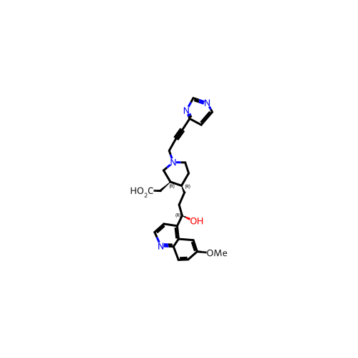 COc1ccc2nccc([C@H](O)CC[C@@H]3CCN(CC#Cc4ccncn4)C[C@@H]3CC(=O)O)c2c1